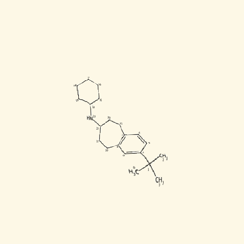 CC(C)(C)c1ccc2c(c1)CCC(NC1CCCCC1)CC2